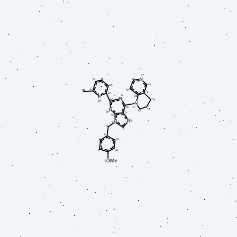 COc1ccc(Cn2cnc3c(N4CCCc5cnccc54)nc(-c4cccc(C)n4)nc32)cc1